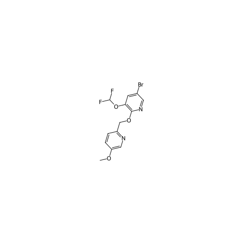 COc1ccc(COc2ncc(Br)cc2OC(F)F)nc1